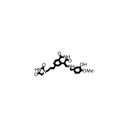 COc1ccc(CNC=C2C(=O)NC(=O)c3ccc(C=CCN4CC(=O)NC4=O)cc32)cc1O